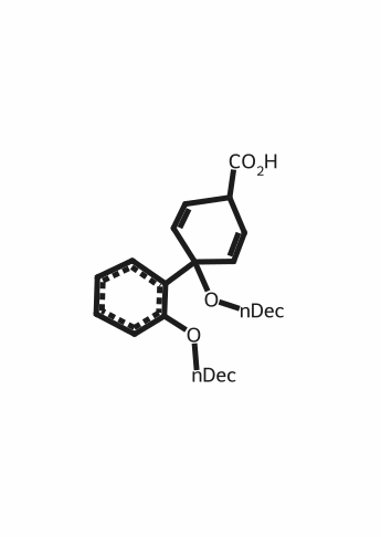 CCCCCCCCCCOc1ccccc1C1(OCCCCCCCCCC)C=CC(C(=O)O)C=C1